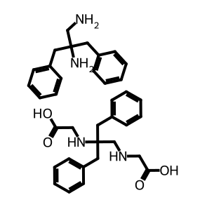 NCC(N)(Cc1ccccc1)Cc1ccccc1.O=C(O)CNCC(Cc1ccccc1)(Cc1ccccc1)NCC(=O)O